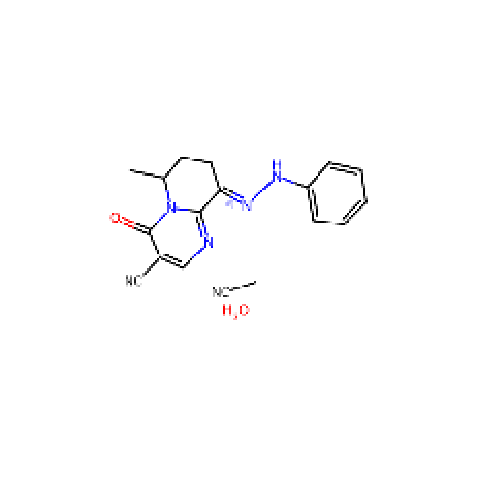 CC#N.CC1CC/C(=N\Nc2ccccc2)c2ncc(C#N)c(=O)n21.O